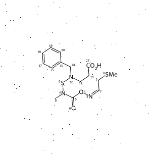 CSC/C=N\OC(=O)N(C)SN(CCC(=O)O)Cc1ccccc1